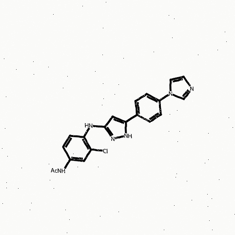 CC(=O)Nc1ccc(Nc2cc(-c3ccc(-n4ccnc4)cc3)[nH]n2)c(Cl)c1